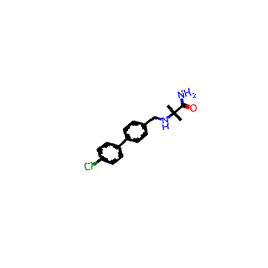 CC(C)(NCc1ccc(-c2ccc(Cl)cc2)cc1)C(N)=O